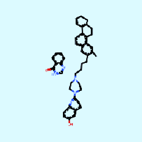 Cc1cc2c3c(ccc2cc1CCCCN1CCN(c2ccc4cc(O)ccc4n2)CC1)C1=C(CCC=C1)CC3.O=c1[nH]cnc2ccccc12